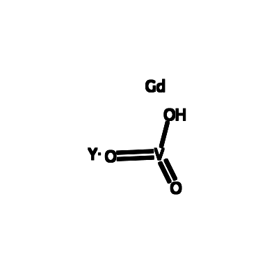 [Gd].[O]=[V](=[O])[OH].[Y]